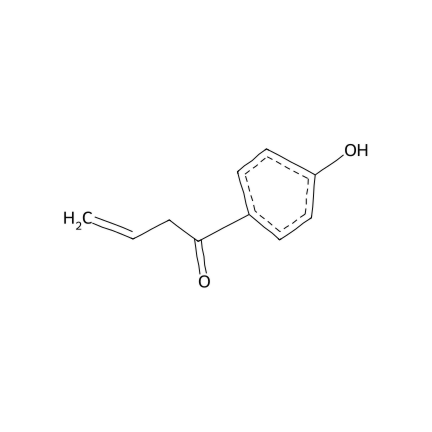 C=CCC(=O)c1ccc(O)cc1